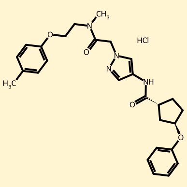 Cc1ccc(OCCN(C)C(=O)Cn2cc(NC(=O)[C@@H]3CC[C@@H](Oc4ccccc4)C3)cn2)cc1.Cl